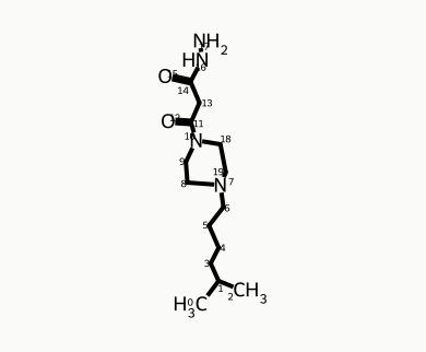 CC(C)CCCCN1CCN(C(=O)CC(=O)NN)CC1